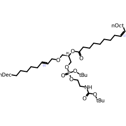 CCCCCCCC/C=C\CCCCCCCC(=O)O[C@H](COC/C=C/CCCCCCCCCCCCCCC)COP(=O)(OCCNC(=O)OC(C)(C)C)OC(C)(C)C